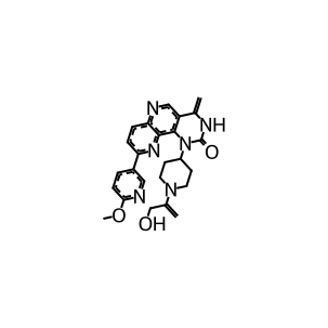 C=C1NC(=O)N(C2CCN(C(=C)CO)CC2)c2c1cnc1ccc(-c3ccc(OC)nc3)nc21